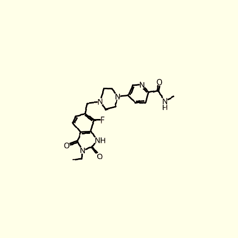 CCn1c(=O)[nH]c2c(F)c(CN3CCN(c4ccc(C(=O)NC)nc4)CC3)ccc2c1=O